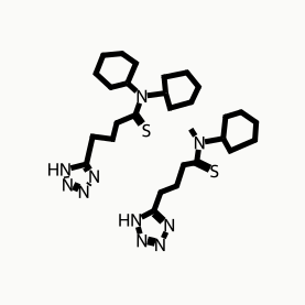 CN(C(=S)CCCc1nnn[nH]1)C1CCCCC1.S=C(CCCc1nnn[nH]1)N(C1CCCCC1)C1CCCCC1